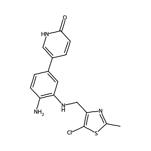 Cc1nc(CNc2cc(-c3ccc(=O)[nH]c3)ccc2N)c(Cl)s1